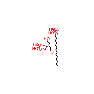 CCCCCCCCCCCCCCOP(=O)(O)O.O=P(O)(O)O.OCCN(CCO)CCO